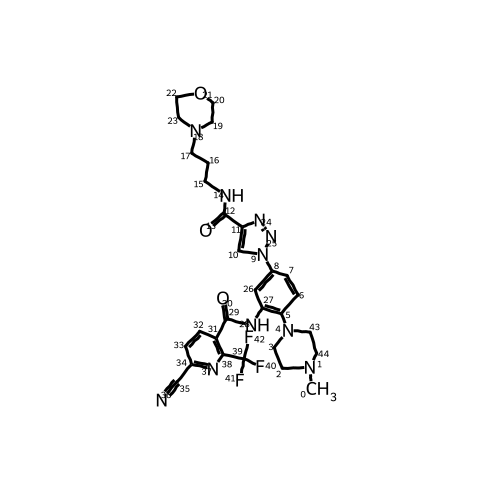 CN1CCN(c2ccc(-n3cc(C(=O)NCCCN4CCOCC4)nn3)cc2NC(=O)c2ccc(C#N)nc2C(F)(F)F)CC1